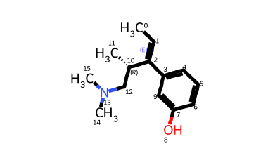 C/C=C(/c1cccc(O)c1)[C@@H](C)CN(C)C